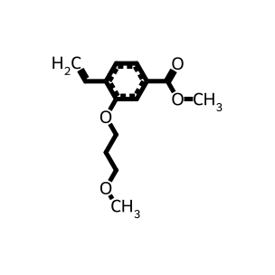 C=Cc1ccc(C(=O)OC)cc1OCCCOC